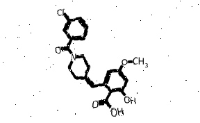 COc1cc(O)c(C(=O)O)c(C=C2CCN(C(=O)c3cccc(Cl)c3)CC2)c1